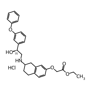 CCOC(=O)COc1ccc2c(c1)CC(NC[C@@H](O)c1cccc(Oc3ccccc3)c1)CC2.Cl